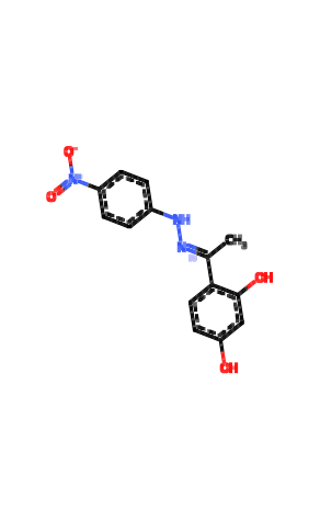 C/C(=N\Nc1ccc([N+](=O)[O-])cc1)c1ccc(O)cc1O